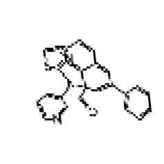 O=CC1(N(c2cccnc2)c2nccs2)C=C(c2ccccc2)C=C2C=COC=C21